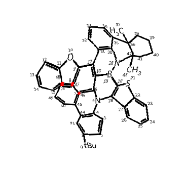 CC(C)(C)c1ccc(N2c3cc4c(oc5ccccc54)c4c3B(c3sc5ccccc5c32)N2c3c-4cccc3C3(C)CCCCC23C)c(-c2ccccc2)c1